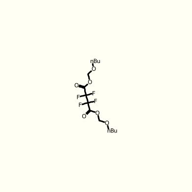 CCCCOCOC(=O)C(F)(F)C(F)(F)C(=O)OCOCCCC